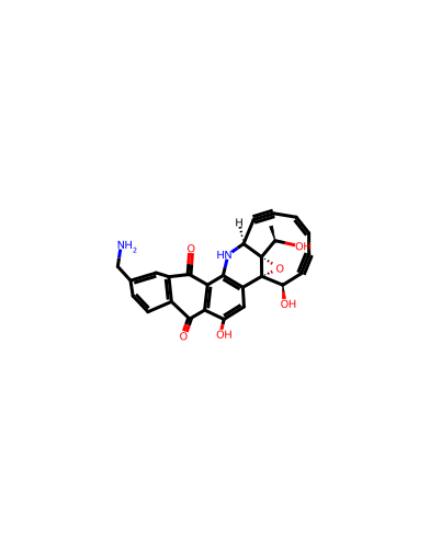 C[C@@H](O)[C@@]12O[C@]13c1cc(O)c4c(c1N[C@H]2C#C/C=C\C#C[C@H]3O)C(=O)c1cc(CN)ccc1C4=O